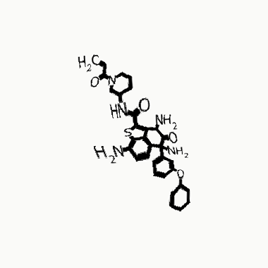 C=CC(=O)N1CCCC(NC(=O)c2sc3c(N)ccc4c3c2C(N)C(=O)C4(N)c2cccc(OC3CCCCC3)c2)C1